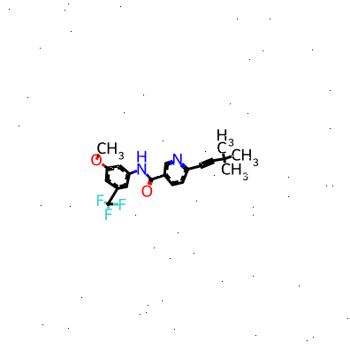 COc1cc(NC(=O)c2ccc(C#CC(C)(C)C)nc2)cc(C(F)(F)F)c1